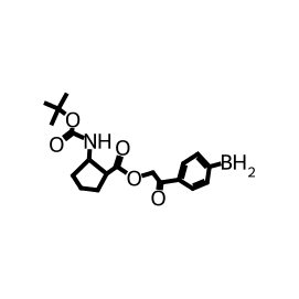 Bc1ccc(C(=O)COC(=O)C2CCCC2NC(=O)OC(C)(C)C)cc1